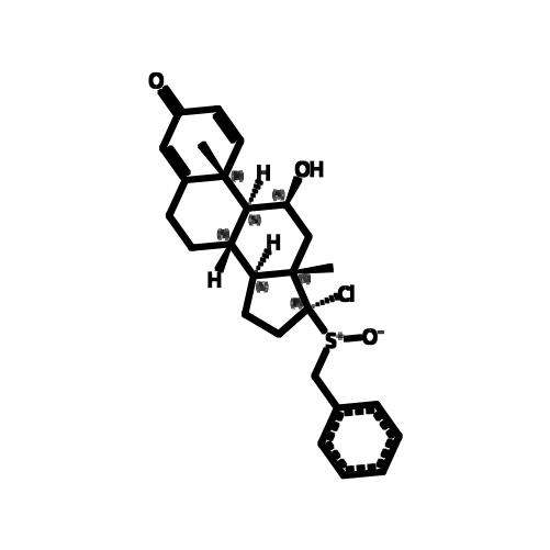 C[C@]12C=CC(=O)C=C1CC[C@@H]1[C@@H]2[C@@H](O)C[C@@]2(C)[C@H]1CC[C@]2(Cl)[S+]([O-])Cc1ccccc1